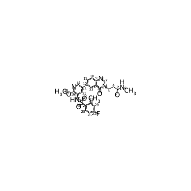 CNC(=O)CCn1cnc2ccc(-c3cnc(OC)c(NS(=O)(=O)c4ccc(F)cc4C)c3)cc2c1=O